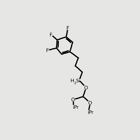 CC(C)OC(O[SiH2]CCCc1cc(F)c(F)c(F)c1)OC(C)C